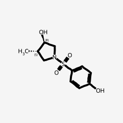 C[C@H]1CN(S(=O)(=O)c2ccc(O)cc2)C[C@@H]1O